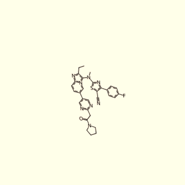 CCc1nc2ccc(-c3cnc(CC(=O)N4CCCC4)nc3)cn2c1N(C)c1nc(-c2ccc(F)cc2)c(C#N)s1